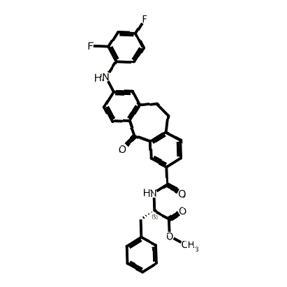 COC(=O)[C@H](Cc1ccccc1)NC(=O)c1ccc2c(c1)C(=O)c1ccc(Nc3ccc(F)cc3F)cc1CC2